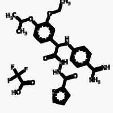 CCOc1cc(C(Nc2ccc(C(=N)N)cc2)C(=O)NNC(=O)c2cccs2)ccc1OC(C)C.O=C(O)C(F)(F)F